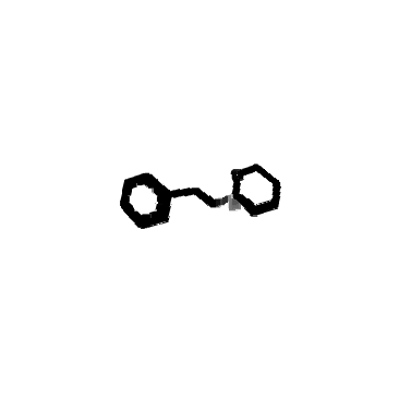 c1ccc(CC[C@H]2CCCCO2)cc1